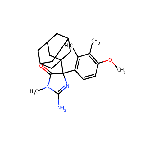 COc1ccc(C2(C34CC5CC(CC(C5)C3)C4)N=C(N)N(C)C2=O)c(C)c1C